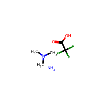 CN(C)C.N.O=C(O)C(F)(F)F